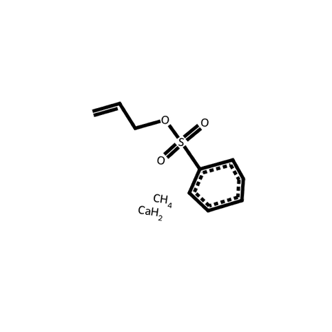 C.C=CCOS(=O)(=O)c1ccccc1.[CaH2]